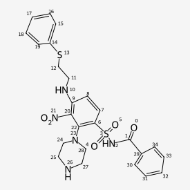 O=C(NS(=O)(=O)c1ccc(NCCSc2ccccc2)c([N+](=O)[O-])c1N1CCNCC1)c1ccccc1